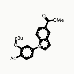 CCCCOc1cc(-n2ccc3cc(C(=O)OC)ccc32)ccc1C(C)=O